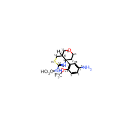 Nc1ccc(OC(F)(F)F)c([C@]23CCOC[C@H]2CSC(NC(=O)O)=N3)c1